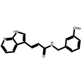 COc1cccc(CNC(=O)/C=C/c2c[nH]c3ncccc23)c1